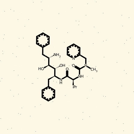 CC(C)[C@H](NC(=O)N(C)Cc1ccccn1)C(=O)N[C@@H](Cc1ccccc1)[C@@H](O)[C@@H](O)[C@@H](N)Cc1ccccc1